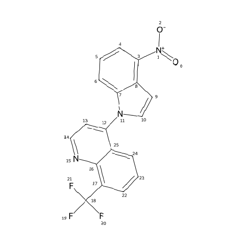 O=[N+]([O-])c1cccc2c1ccn2-c1ccnc2c(C(F)(F)F)cccc12